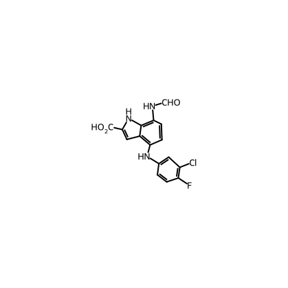 O=CNc1ccc(Nc2ccc(F)c(Cl)c2)c2cc(C(=O)O)[nH]c12